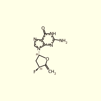 C=C1O[C@@H](n2cnc3c(=O)[nH]c(N)nc32)C[C@@H]1F